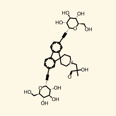 CC(O)(C=O)CN1CCC2(CC1)c1cc(C#C[C@H]3O[C@H](CO)[C@@H](O)[C@H](O)[C@H]3O)ccc1-c1ccc(C#C[C@H]3O[C@H](CO)[C@@H](O)[C@H](O)[C@H]3O)cc12